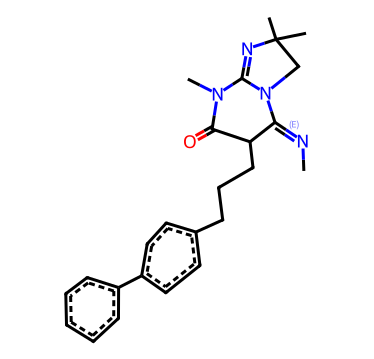 C/N=C1\C(CCCc2ccc(-c3ccccc3)cc2)C(=O)N(C)C2=NC(C)(C)CN21